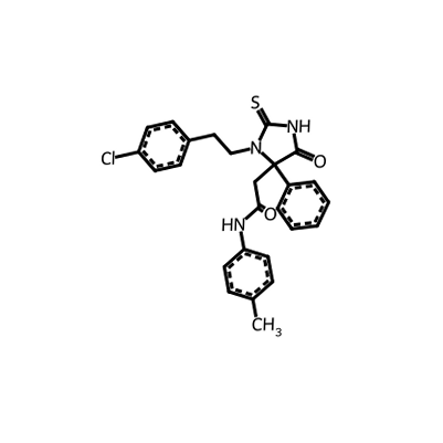 Cc1ccc(NC(=O)CC2(c3ccccc3)C(=O)NC(=S)N2CCc2ccc(Cl)cc2)cc1